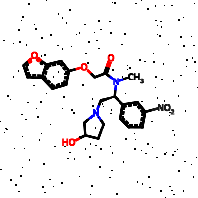 CN(C(=O)COc1ccc2ccoc2c1)[C@H](CN1CCC(O)C1)c1cccc([N+](=O)[O-])c1